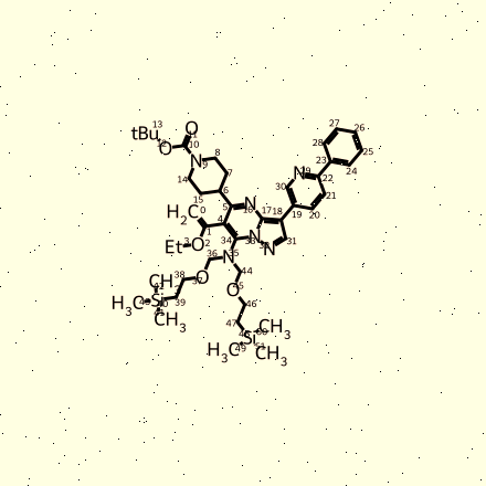 C=C(OCC)c1c(C2CCN(C(=O)OC(C)(C)C)CC2)nc2c(-c3ccc(-c4ccccc4)nc3)cnn2c1N(COCC[Si](C)(C)C)COCC[Si](C)(C)C